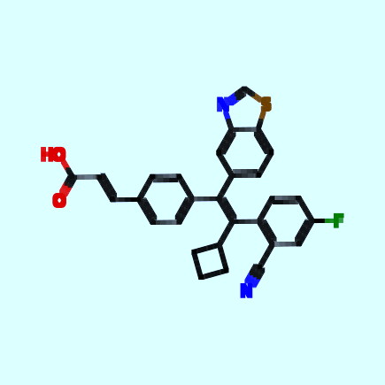 N#Cc1cc(F)ccc1C(=C(c1ccc(C=CC(=O)O)cc1)c1ccc2scnc2c1)C1CCC1